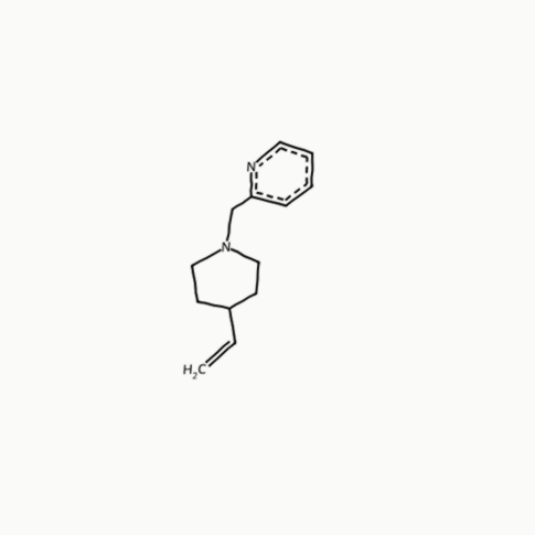 C=CC1CCN(Cc2ccccn2)CC1